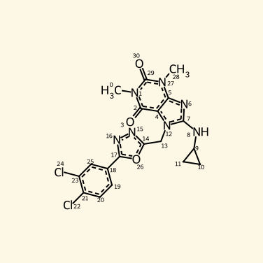 Cn1c(=O)c2c(nc(NC3CC3)n2Cc2nnc(-c3ccc(Cl)c(Cl)c3)o2)n(C)c1=O